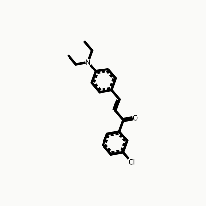 CCN(CC)c1ccc(C=CC(=O)c2cccc(Cl)c2)cc1